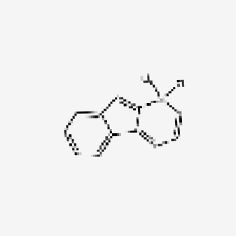 Cl[Si]1(Cl)C=CC=C2C1=Cc1ccccc12